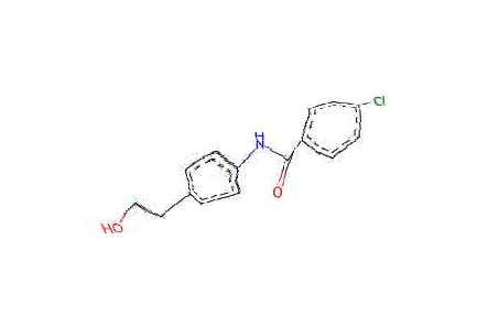 O=C(Nc1ccc(CCO)cc1)c1ccc(Cl)cc1